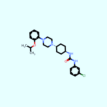 CC(C)Oc1ccccc1N1CCN([C@H]2CC[C@H](NC(=O)Nc3cccc(Cl)c3)CC2)CC1